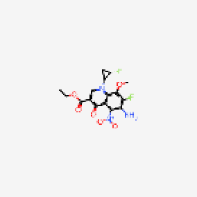 CCOC(=O)c1cn([C@@H]2C[C@@H]2F)c2c(OC)c(F)c(N)c([N+](=O)[O-])c2c1=O